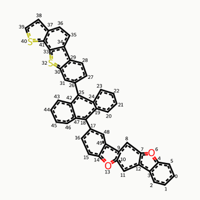 c1ccc2c(c1)oc1cc3c(cc12)oc1ccc(-c2c4ccccc4c(-c4ccc5c(c4)sc4c5ccc5ccsc54)c4ccccc24)cc13